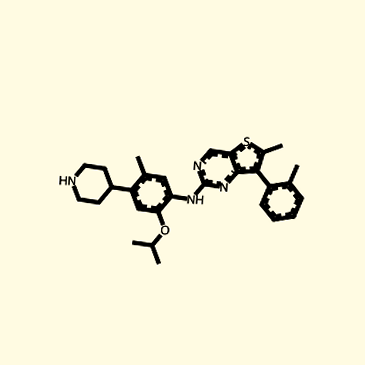 Cc1ccccc1-c1c(C)sc2cnc(Nc3cc(C)c(C4CCNCC4)cc3OC(C)C)nc12